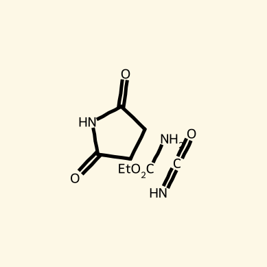 CCOC(N)=O.N=C=O.O=C1CCC(=O)N1